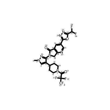 Cn1cc(C2CCN(C(=O)C(F)(F)C(F)(F)F)CC2)c(N2Cc3ncc(-c4nnc(C(F)F)o4)cc3C2=O)n1